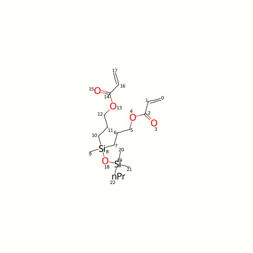 C=CC(=O)OCCC[Si](C)(CCCOC(=O)C=C)O[Si](C)(C)CCC